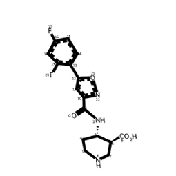 O=C(N[C@H]1CCNC[C@@H]1C(=O)O)c1cc(-c2ccc(F)cc2F)on1